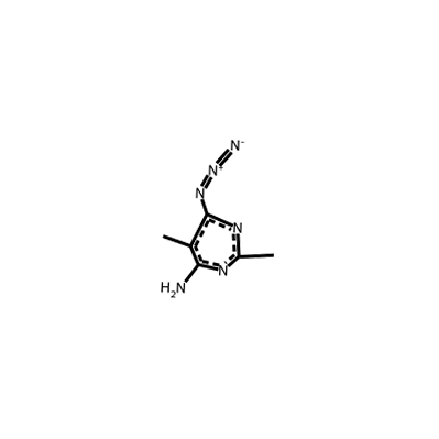 Cc1nc(N)c(C)c(N=[N+]=[N-])n1